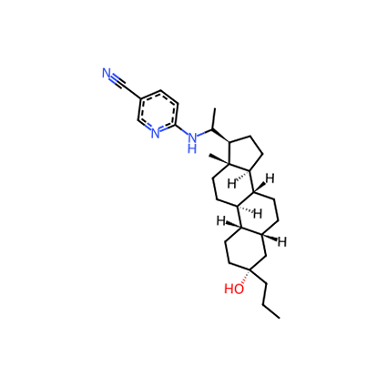 CCC[C@@]1(O)CC[C@H]2[C@H](CC[C@@H]3[C@@H]2CC[C@]2(C)[C@@H](C(C)Nc4ccc(C#N)cn4)CC[C@@H]32)C1